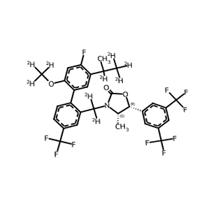 [2H]C([2H])([2H])Oc1cc(F)c(C([2H])(C)C([2H])([2H])[2H])cc1-c1ccc(C(F)(F)F)cc1C([2H])([2H])N1C(=O)O[C@H](c2cc(C(F)(F)F)cc(C(F)(F)F)c2)[C@@H]1C